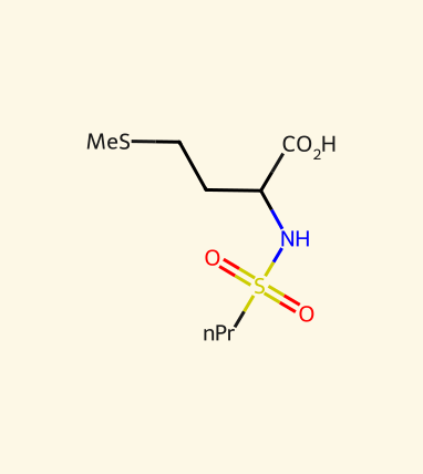 CCCS(=O)(=O)NC(CCSC)C(=O)O